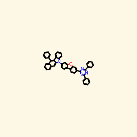 c1ccc(-c2nc(-c3ccccc3)nc(-c3ccc4c(c3)oc3cc(-n5c6ccccc6c6c(-c7ccccc7)c7ccccc7cc65)ccc34)n2)cc1